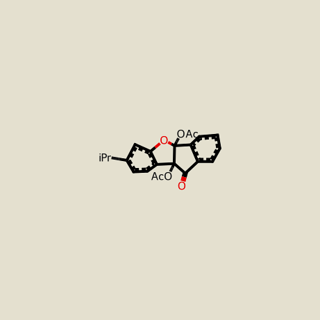 CC(=O)OC12Oc3cc(C(C)C)ccc3C1(OC(C)=O)C(=O)c1ccccc12